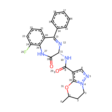 CC1CCn2ncc(C(=O)N[C@H]3N=C(c4ccccc4)c4cccc(F)c4NC3=O)c2O1